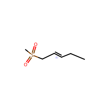 CC/C=C/CS(C)(=O)=O